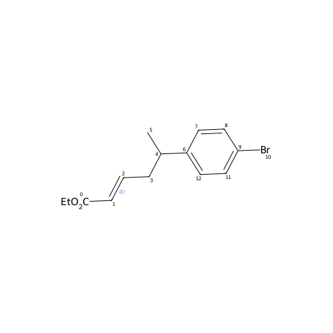 CCOC(=O)/C=C/CC(C)c1ccc(Br)cc1